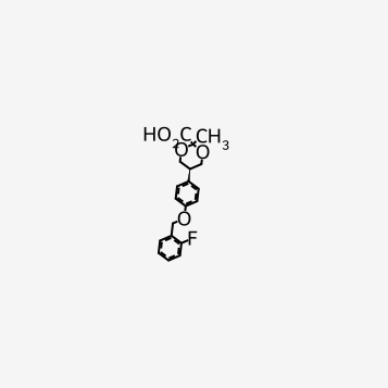 C[C@]1(C(=O)O)OC[C@@H](c2ccc(OCc3ccccc3F)cc2)CO1